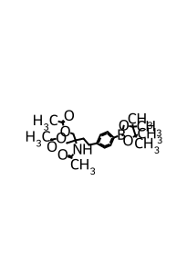 CC(=O)NC(CCc1ccc(B2OC(C)(C)C(C)(C)O2)cc1)(COC(C)=O)COC(C)=O